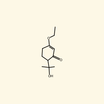 CCOC1=CC(=O)C(C(C)(C)O)CC1